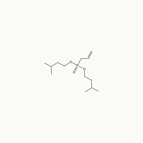 C=CCP(=O)(OCCC(C)C)OCCC(C)C